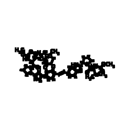 COCCOc1c(C#Cc2ccc3nc([C@@H]4CCCN4C(=O)[C@@H](NC(=O)OC)C(C)C)[nH]c3c2)ccc(-c2cnc([C@@H]3CCCN3C(=O)[C@H](NC(=O)OC)C(C)C)[nH]2)c1OCCOC